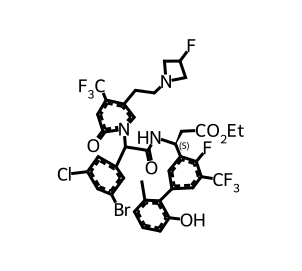 CCOC(=O)C[C@H](NC(=O)C(c1cc(Cl)cc(Br)c1)n1cc(CCN2CC(F)C2)c(C(F)(F)F)cc1=O)c1cc(-c2c(C)cccc2O)cc(C(F)(F)F)c1F